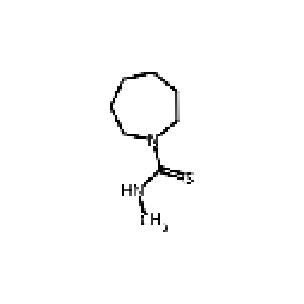 CNC(=S)N1CCCCCC1